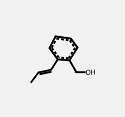 CC=Cc1ccccc1[CH]O